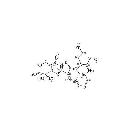 CC[C@@]1(O)C(=O)OCc2c1cc1n(c2=O)Cc2c-1nc1cccc3c1c2N(CCC(C)C)C(CO)=N3